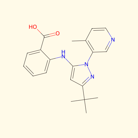 Cc1ccncc1-n1nc(C(C)(C)C)cc1Nc1ccccc1C(=O)O